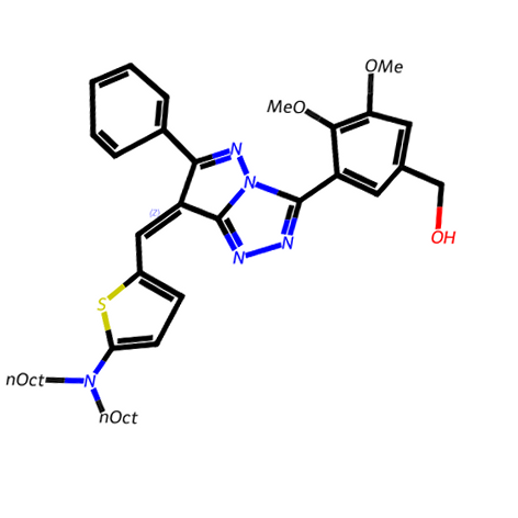 CCCCCCCCN(CCCCCCCC)c1ccc(/C=c2/c(-c3ccccc3)nn3c(-c4cc(CO)cc(OC)c4OC)nnc23)s1